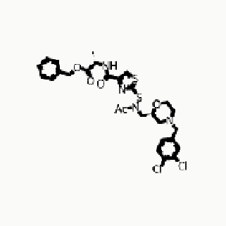 CC(=O)N(C[C@@H]1CN(Cc2ccc(Cl)c(Cl)c2)CCO1)Sc1nc(C(=O)N[C@@H](C)C(=O)OCc2ccccc2)cs1